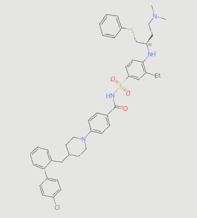 CCc1cc(S(=O)(=O)NC(=O)c2ccc(N3CCC(Cc4ccccc4-c4ccc(Cl)cc4)CC3)cc2)ccc1N[C@H](CCN(C)C)CSc1ccccc1